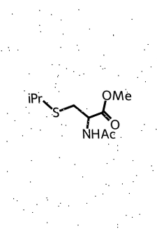 COC(=O)C(CSC(C)C)NC(C)=O